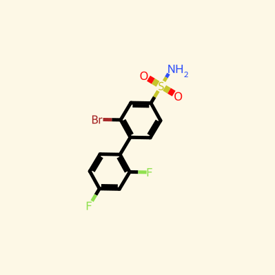 NS(=O)(=O)c1ccc(-c2ccc(F)cc2F)c(Br)c1